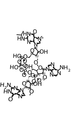 COC[C@H]1[C@@H](O)[C@H](n2c[n+](C)c3c(=O)[nH]c(NC(C)C)nc32)O[C@@H]1COP(=O)(O)OP(=O)(O)OP(=O)(O)OCC1O[C@@H](n2cnc3c(N)ncnc32)[C@H](OC)[C@@H]1P(=O)([O-])OC[C@H]1O[C@@H](n2cnc3c(=O)[nH]c(N)nc32)[C@H](OC)[C@@H]1O